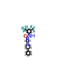 O=C(Nc1cc(C(F)(F)F)cc(C(F)(F)F)c1)N1CC(N2CCC(c3ccccc3)CC2)C1